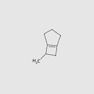 CC1CC2=C1CCC2